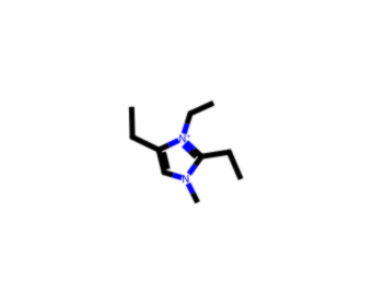 CCc1cn(C)c(CC)[n+]1CC